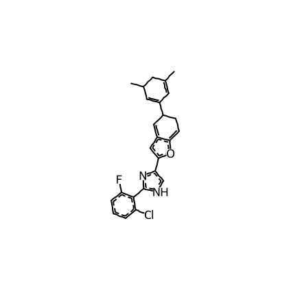 CC1=CC(C2C=c3cc(-c4c[nH]c(-c5c(F)cccc5Cl)n4)oc3=CC2)=CC(C)C1